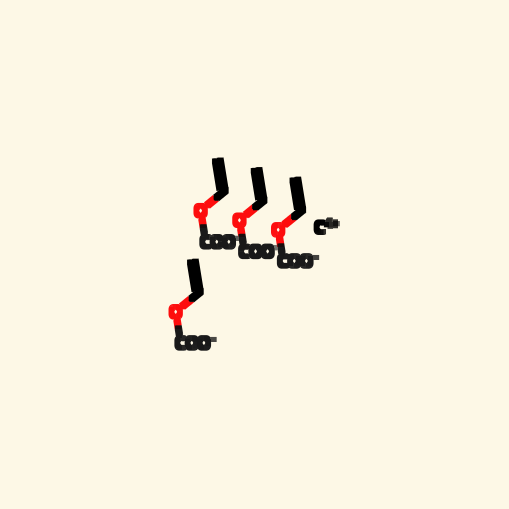 C=COC(=O)[O-].C=COC(=O)[O-].C=COC(=O)[O-].C=COC(=O)[O-].[C+4]